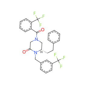 O=C(c1ccccc1C(F)(F)F)N1CC(=O)N(Cc2cccc(C(F)(F)F)c2)[C@@H](CCc2ccccc2)C1